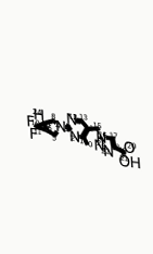 Cc1nc(N2CC3[C@H](C2)C3(F)F)ncc1Cn1cc(C(=O)O)nn1